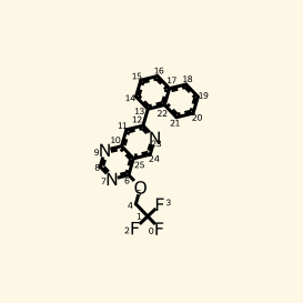 FC(F)(F)COc1ncnc2cc(-c3cccc4ccccc34)ncc12